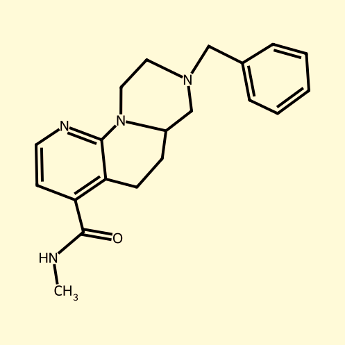 CNC(=O)c1ccnc2c1CCC1CN(Cc3ccccc3)CCN21